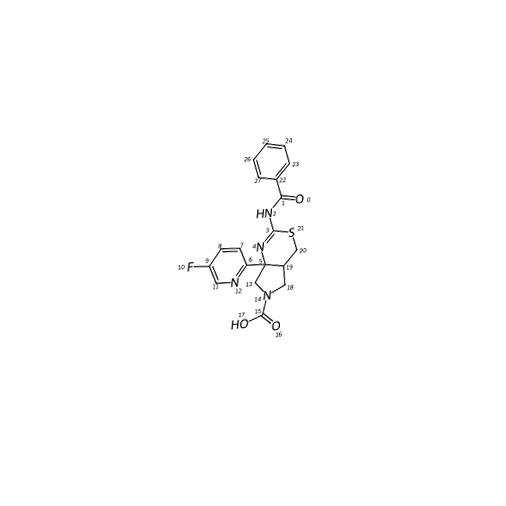 O=C(NC1=NC2(c3ccc(F)cn3)CN(C(=O)O)CC2CS1)c1ccccc1